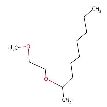 [CH2]C(CCCCCCC)OCCOC